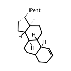 CCC[C@@H](C)[C@H]1CC[C@H]2[C@@H]3CCC4CCC=C[C@@H]4[C@H]3CC[C@]12C